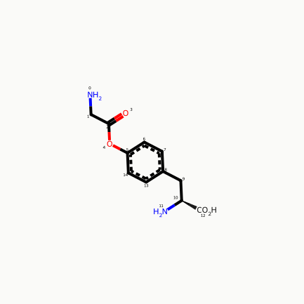 NCC(=O)Oc1ccc(C[C@H](N)C(=O)O)cc1